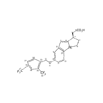 O=C(O)C[C@H]1CCn2c1cc1cc(OCc3ccc(C(F)(F)F)cc3C(F)(F)F)ccc12